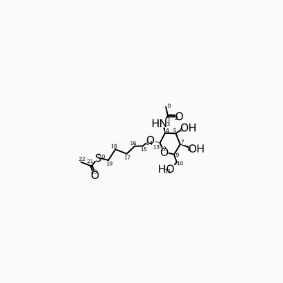 CC(=O)N[C@H]1C(O)[C@@H](O)C(CO)O[C@@H]1OCCCCCSC(C)=O